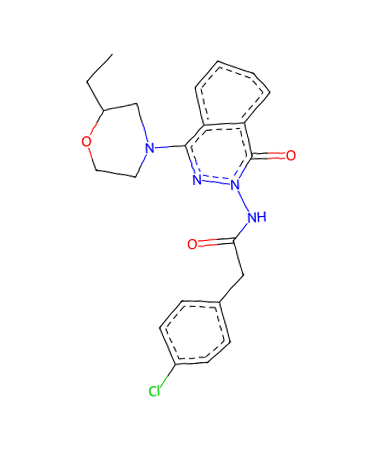 CCC1CN(c2nn(NC(=O)Cc3ccc(Cl)cc3)c(=O)c3ccccc23)CCO1